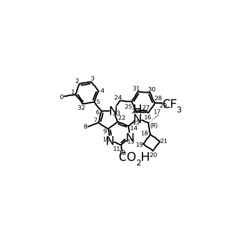 Cc1cccc(-c2c(C)c3nc(C(=O)O)nc(N[C@H](C)C4CCC4)c3n2Cc2ccc(C(F)(F)F)cc2)c1